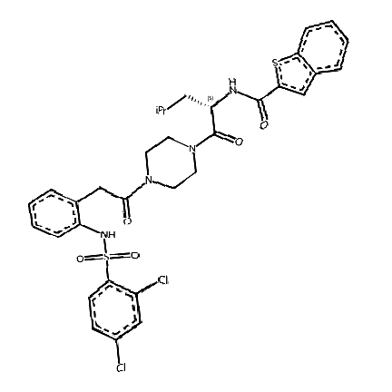 CC(C)C[C@H](NC(=O)c1cc2ccccc2s1)C(=O)N1CCN(C(=O)Cc2ccccc2NS(=O)(=O)c2ccc(Cl)cc2Cl)CC1